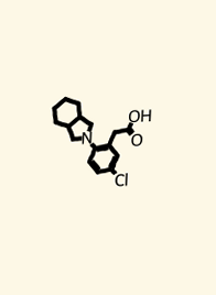 O=C(O)Cc1cc(Cl)ccc1N1CC2CCCCC2C1